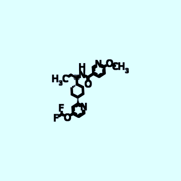 CC[C@@H](NC(=O)c1ccc(OC)nc1)[C@H]1CC[C@@H](c2cc(OC(F)F)ccn2)CC1